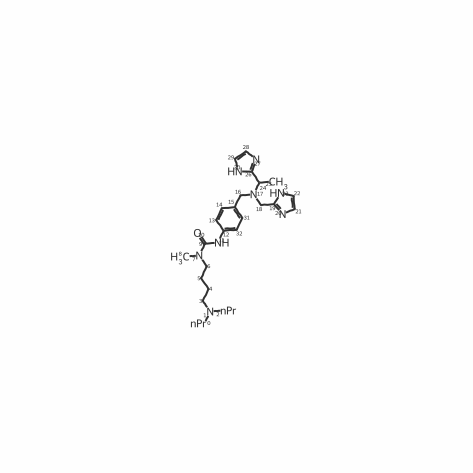 CCCN(CCC)CCCCN(C)C(=O)Nc1ccc(CN(Cc2ncc[nH]2)C(C)c2ncc[nH]2)cc1